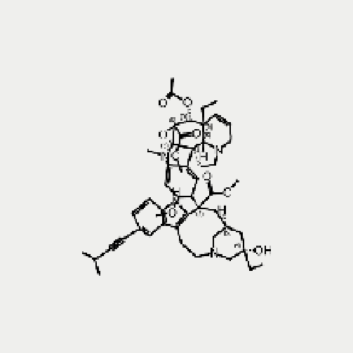 CC[C@]1(O)C[C@H]2CN(CCc3c([nH]c4ccc(C#CC(C)C)cc34)[C@@](C(=O)OC)(C3C=C4C(=CC3OC)N(C)[C@@]35O[C@]3(C(=O)OC)[C@H](OC(C)=O)[C@]3(CC)C=CCN6CC[C@]45[C@@H]63)C2)C1